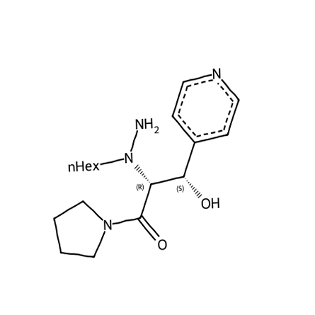 CCCCCCN(N)[C@@H](C(=O)N1CCCC1)[C@@H](O)c1ccncc1